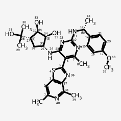 Cc1cc2sc(-c3c(C)nc(N[C@H](C)c4ccc(OC(F)(F)F)cc4)nc3N[C@@H]3C[C@H](C(C)(C)O)[C@@H](O)[C@H]3O)nc2c(C)n1